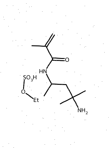 C=C(C)C(=O)NC(C)CC(C)(C)N.CCOS(=O)(=O)O